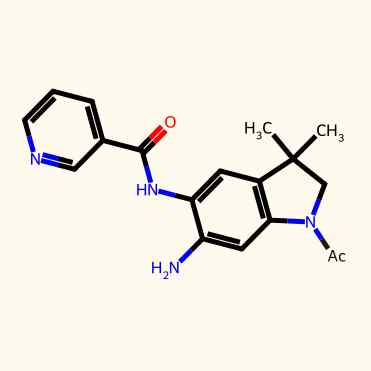 CC(=O)N1CC(C)(C)c2cc(NC(=O)c3cccnc3)c(N)cc21